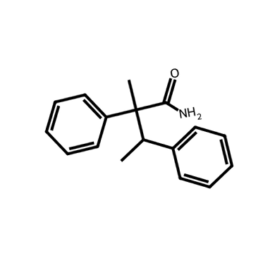 CC(c1ccccc1)C(C)(C(N)=O)c1ccccc1